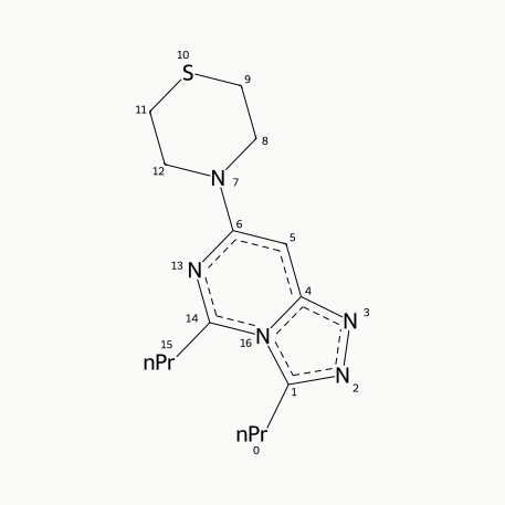 CCCc1nnc2cc(N3CCSCC3)nc(CCC)n12